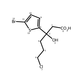 O=C(O)CC(O)(CCCCl)c1ccc(Br)s1